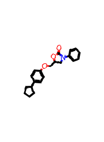 O=C1OC(COc2ccc(C3CCCC3)cc2)CN1c1ccccc1